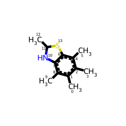 Cc1c(C)c(C)c2c(c1C)NC(C)S2